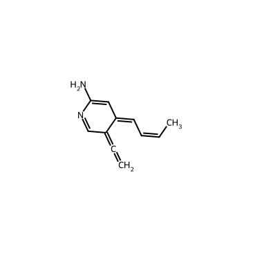 C=C=c1cnc(N)c/c1=C/C=C\C